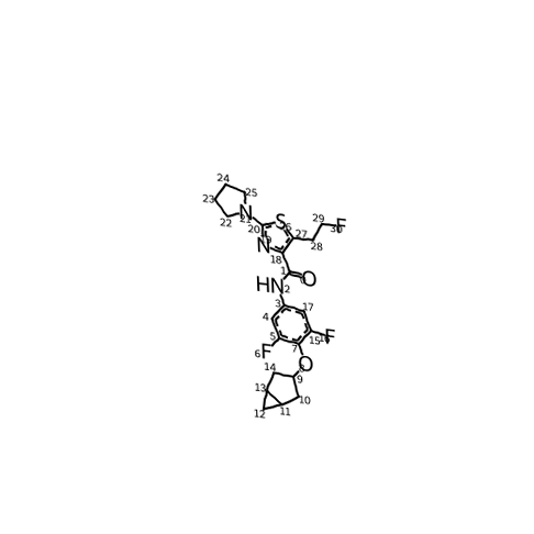 O=C(Nc1cc(F)c(OC2CC3CC3C2)c(F)c1)c1nc(N2CCCC2)sc1CCF